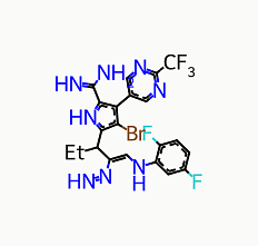 CCC(/C(=C/Nc1cc(F)ccc1F)N=N)c1[nH]c(C(=N)N)c(-c2cnc(C(F)(F)F)nc2)c1Br